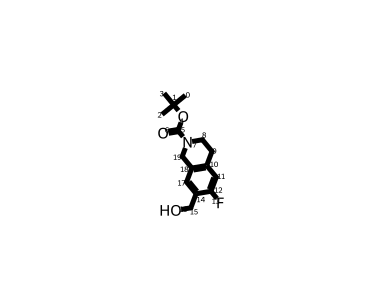 CC(C)(C)OC(=O)N1CCc2cc(F)c(CO)cc2C1